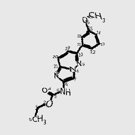 CCOC(=O)Nc1cn2nc(-c3cccc(OC)c3)ccc2n1